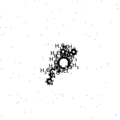 CC[C@H]1OC(=O)[C@@](C)(F)C(=O)[C@H](C)[C@@H](OC2O[C@H](C)C[C@H](N(C)C)[C@H]2OC(=O)c2ccccc2)[C@@](C)(OC)C[C@@H](C)C(=O)[C@H](C)[C@@H]2C1OC(=O)N2NCCC(C)n1cnc(-c2cccnc2)c1